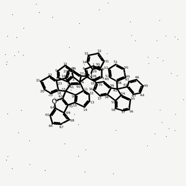 c1ccc(C(c2ccccc2)c2cccc3c2C2(c4ccccc4-c4ccc(N(c5ccccc5)c5ccc6c(c5)C(c5ccccc5)(c5ccccc5)c5ccccc5-6)cc42)c2oc4ccccc4c2-3)cc1